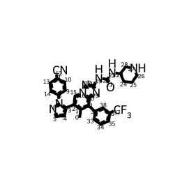 Cc1c(-c2ccnn2-c2ccc(C#N)cc2)cn2nc(NC(=O)NC3CCCNC3)nc2c1-c1cccc(C(F)(F)F)c1